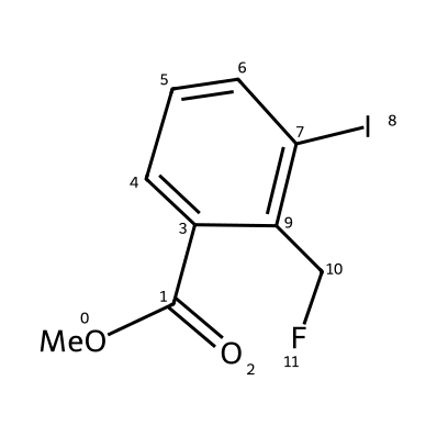 COC(=O)c1cccc(I)c1CF